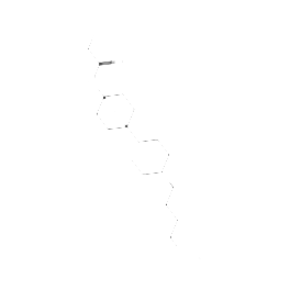 CCCCC[C@H]1CC[C@H](C23CCC(OC(=O)CC)(CC2)CC3)CC1